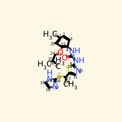 Cc1ccc(NC(=O)Nc2ncc(C(C)Sc3ncc[nH]3)s2)c(OCC(C)C)c1